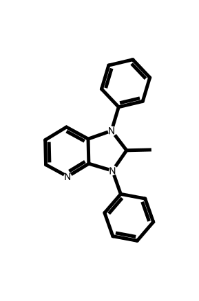 CC1N(c2ccccc2)c2cccnc2N1c1ccccc1